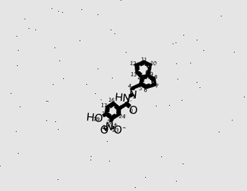 O=C(N/N=C/c1cccc2ccccc12)c1ccc(O)c([N+](=O)[O-])c1